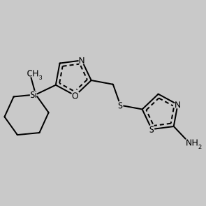 C[Si]1(c2cnc(CSc3cnc(N)s3)o2)CCCCC1